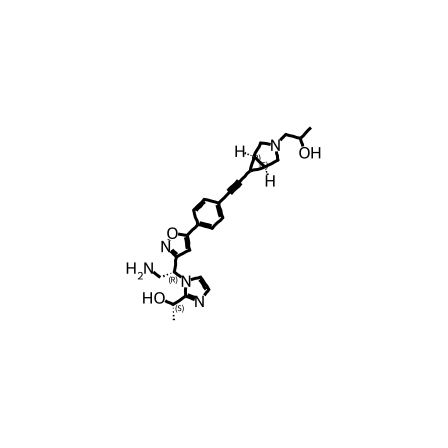 CC(O)CN1C[C@@H]2C(C#Cc3ccc(-c4cc([C@@H](CN)n5ccnc5[C@H](C)O)no4)cc3)[C@@H]2C1